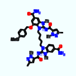 CCn1nc(C)cc1C(=O)/N=c1\n(CC)c2cc(C(N)=O)ccc2n1CCCCCn1/c(=N/C(=O)c2cc(C)nn2CC)n(CC)c2cc(C(N)=O)cc(OCc3ccc(OC)cc3)c21